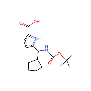 CC(C)(C)OC(=O)NC(c1ccc(C(=O)O)[nH]1)C1CCCC1